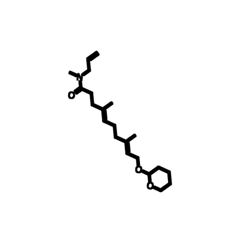 C=CCN(C)C(=O)CC/C(C)=C/CC/C(C)=C/COC1CCCCO1